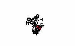 CCC[C@H]1N(C(=O)c2ncccc2C(F)(F)F)CCC[C@@]1(Oc1csc(C(F)(F)F)c1)C(=O)N1CCC(C#N)(c2ccccc2OCCCC2(C(=O)O)CCCC2)CC1